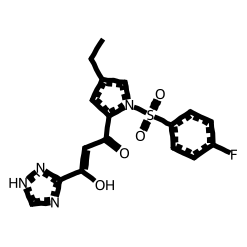 CCc1cc(C(=O)C=C(O)c2nc[nH]n2)n(S(=O)(=O)c2ccc(F)cc2)c1